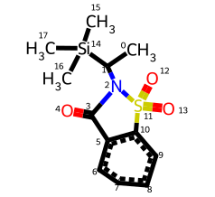 CC(N1C(=O)c2ccccc2S1(=O)=O)[Si](C)(C)C